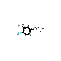 CCc1cc(C(=O)O)ccc1F